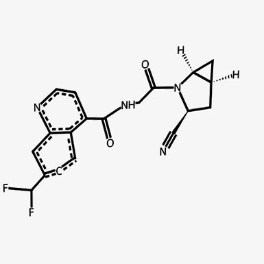 N#C[C@@H]1C[C@@H]2C[C@@H]2N1C(=O)CNC(=O)c1ccnc2cc(C(F)F)ccc12